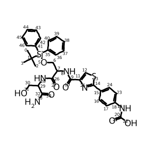 CC(C)(C)[Si](OCC(NC(=O)c1csc(-c2ccc(NC(=O)O)cc2)n1)C(=O)NC(CO)C(N)=O)(c1ccccc1)c1ccccc1